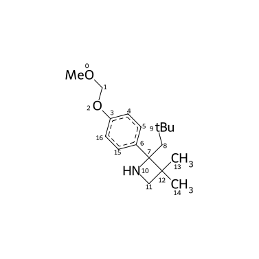 COCOc1ccc(C2(CC(C)(C)C)NCC2(C)C)cc1